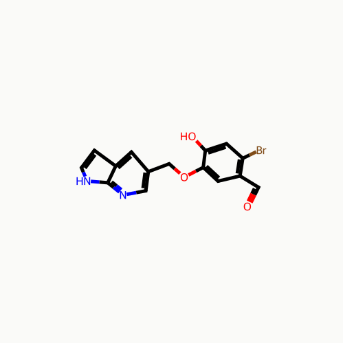 O=Cc1cc(OCc2cnc3[nH]ccc3c2)c(O)cc1Br